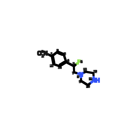 O=[N+]([O-])c1ccc(C(F)CN2CCNCC2)cc1